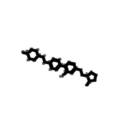 CC1CCCN1CCc1ccc(-c2ccc(CCC3CCN(C)CC3)cc2)c(F)c1